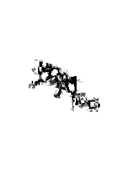 CN(C[C@@]1(C)CC[C@]2(C)CC[C@@]3(C)[C@]4(C)CC[C@H]5C(C)(C)C(=O)C(C#N)=C[C@]5(C)C4=CC(=O)[C@]3(O)[C@@H]2C1)C(=O)CN1CCOCC1